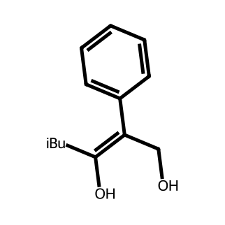 CCC(C)/C(O)=C(/CO)c1ccccc1